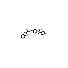 Cc1ccc(S(=O)(=O)c2ccc(CNC(=O)c3cc4ccncc4o3)cc2)c(C)c1